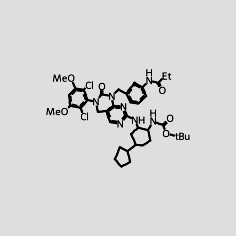 CCC(=O)Nc1cccc(CN2C(=O)N(c3c(Cl)c(OC)cc(OC)c3Cl)Cc3cnc(NC4CC(C5CCCC5)CCC4NC(=O)OC(C)(C)C)nc32)c1